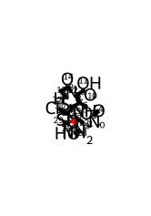 CN(C)C(=O)OCC1=C(C(=O)O)N2C(=O)C[C@H]2SC1(NC(=O)/C=N\O)c1nc(N)sc1Cl